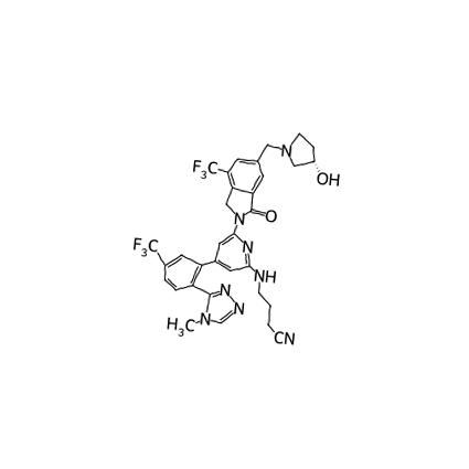 Cn1cnnc1-c1ccc(C(F)(F)F)cc1-c1cc(NCCCC#N)nc(N2Cc3c(cc(CN4CC[C@H](O)C4)cc3C(F)(F)F)C2=O)c1